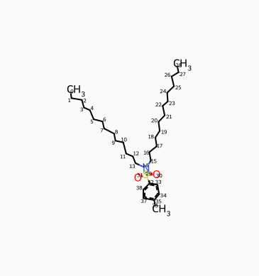 CCCCCCCCCCCCCCN(CCCCCCCCCCCCCC)S(=O)(=O)c1ccc(C)cc1